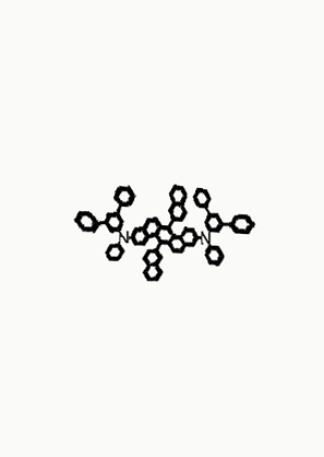 c1ccc(-c2cc(-c3ccccc3)cc(N(c3ccccc3)c3ccc4c(ccc5c(-c6ccc7ccccc7c6)c6c(ccc7cc(N(c8ccccc8)c8cc(-c9ccccc9)cc(-c9ccccc9)c8)ccc76)c(-c6ccc7ccccc7c6)c54)c3)c2)cc1